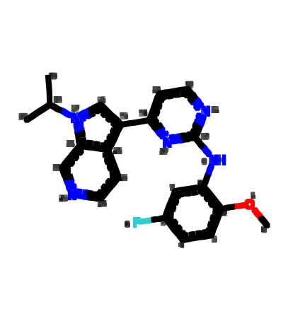 COc1ccc(F)cc1Nc1nccc(-c2cn(C(C)C)c3cnccc23)n1